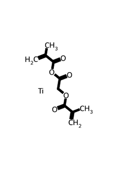 C=C(C)C(=O)OCC(=O)OC(=O)C(=C)C.[Ti]